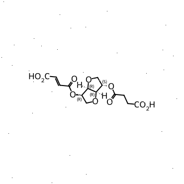 O=C(O)C=CC(=O)O[C@@H]1CO[C@H]2[C@@H]1OC[C@@H]2OC(=O)CCC(=O)O